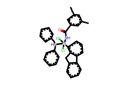 Cc1cc(C)cc(C(=O)[NH][Ti]([Cl])([Cl])([c]2cccc3c2Cc2ccccc2-3)[SiH](c2ccccc2)c2ccccc2)c1